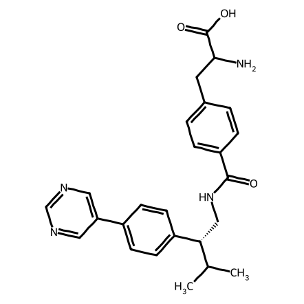 CC(C)[C@@H](CNC(=O)c1ccc(CC(N)C(=O)O)cc1)c1ccc(-c2cncnc2)cc1